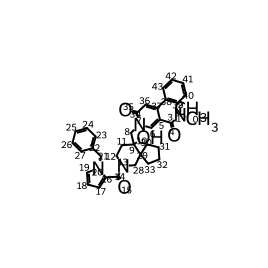 CN(C)C(=O)c1cn(CC2(O)CCN(C(=O)c3cccn3Cc3ccccc3)CC23CCCC3)c(=O)cc1-c1ccccc1